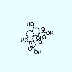 O=C(O)C[C@](NO)(C(=O)O)c1cccc2c(O)cc(S(=O)(=O)O)cc12